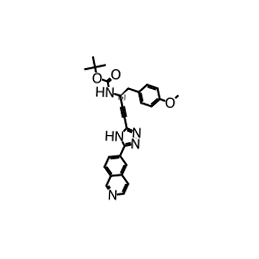 COc1ccc(C[C@@H](C#Cc2nnc(-c3ccc4cnccc4c3)[nH]2)NC(=O)OC(C)(C)C)cc1